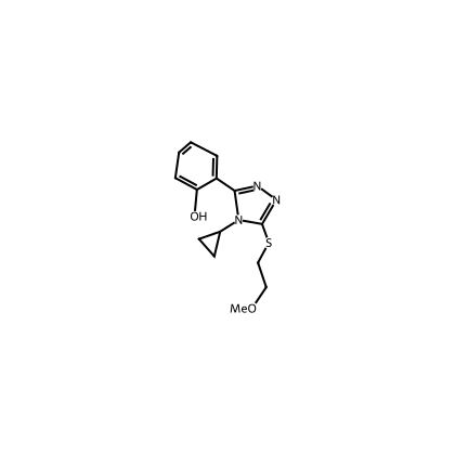 COCCSc1nnc(-c2ccccc2O)n1C1CC1